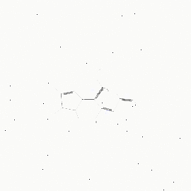 C\C=C(/C=C(O)\C(=C(/C)OC(C)C)C1C=C(C)C(C)C1S)CCCCC